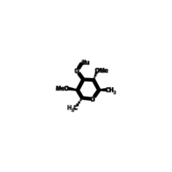 CCC(C)OC1[C@H](OC)[C@@H](C)O[C@H](C)[C@H]1OC